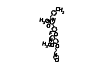 COc1c(OCCCN2CCOCC2)ccc2c(Oc3ccc(-c4cnc(Cc5ccc(C)cc5)n(C)c4=O)cc3F)ccnc12